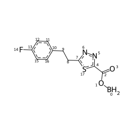 BOC(=O)c1nnc(CCc2ccc(F)cc2)s1